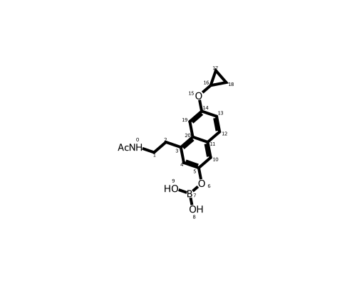 CC(=O)NCCc1cc(OB(O)O)cc2ccc(OC3CC3)cc12